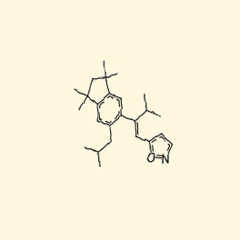 CC(C)Cc1cc2c(cc1C(=Cc1ccno1)C(C)C)C(C)(C)CC2(C)C